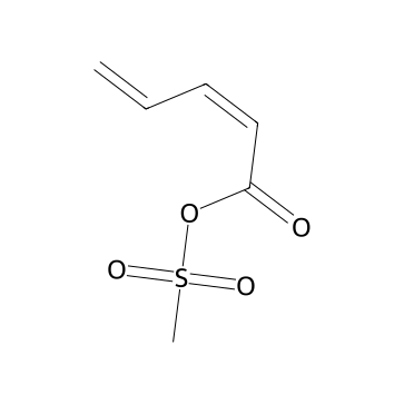 C=C/C=C\C(=O)OS(C)(=O)=O